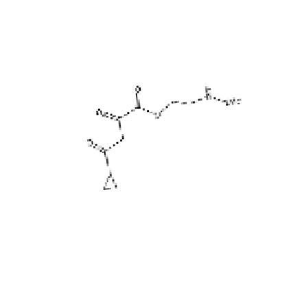 CNNCCOC(=O)C(=O)CC(=O)C1CC1